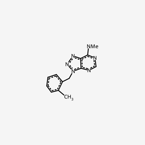 CNc1ncnc2c1nnn2Cc1ccccc1C